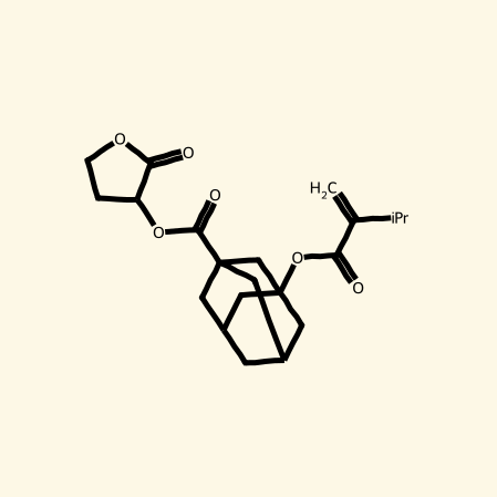 C=C(C(=O)OC12CC3CC(C1)CC(C(=O)OC1CCOC1=O)(C3)C2)C(C)C